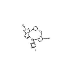 Cc1cn([C@@H]2c3ccc(C#N)c(c3)COc3cccc(c3)-c3cc(C#N)nc4ccc2cc34)cn1